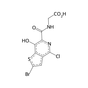 O=C(O)CNC(=O)c1nc(Cl)c2cc(Br)sc2c1O